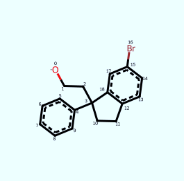 [O]CCC1(c2ccccc2)CCc2ccc(Br)cc21